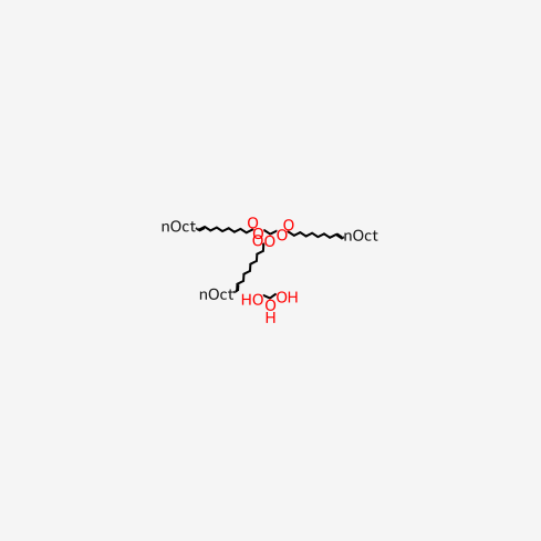 CCCCCCCC/C=C/CCCCCCCC(=O)OCC(COC(=O)CCCCCCC/C=C/CCCCCCCC)OC(=O)CCCCCCC/C=C/CCCCCCCC.OCC(O)CO